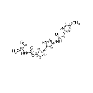 Cc1cnc(CC(=O)Nc2cc([C@H]3CC[C@@H](OC(=O)NC(C)CF)C3)[nH]n2)o1